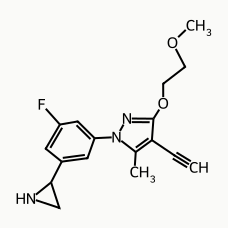 C#Cc1c(OCCOC)nn(-c2cc(F)cc(C3CN3)c2)c1C